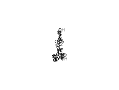 Cc1c(COc2cc(OCc3cncc(S(C)(=O)=O)c3)c(CN3CCCC[C@H]3C(=O)O)cc2Cl)cccc1-c1cccc(OCCCN2CC[C@@H](O)C2)c1Cl